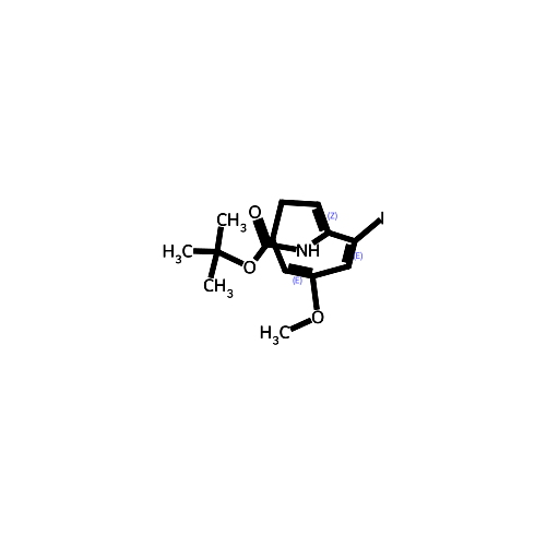 COC1=C/CC/C=C(NC(=O)OC(C)(C)C)/C(I)=C\1